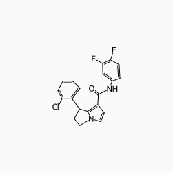 O=C(Nc1ccc(F)c(F)c1)c1ccn2c1C(c1ccccc1Cl)CC2